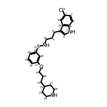 Clc1ccc2[nH]cc(CCCNSc3cccc(OCCCC4CCNCC4)c3)c2c1